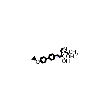 C[C@H](O)c1nccn1[C@@H](/C=C/c1ccc(-c2ccc(OC3CC3)cc2)cc1)CO